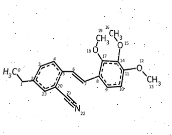 CCc1ccc(C=Cc2ccc(OC)c(OC)c2OC)c(C#N)c1